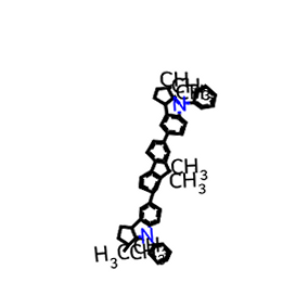 CC1(C)c2cc(-c3ccc4c(c3)C3CCC(C)(C)C3(C)N4c3ccccc3)ccc2-c2ccc(-c3ccc4c(c3)C3CCC(C)(C)C3(C)N4c3ccccc3)cc21